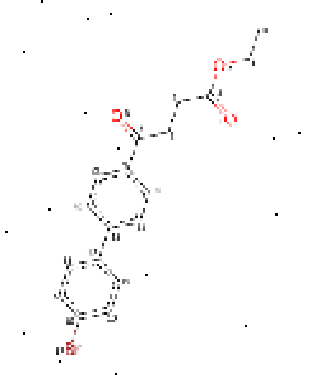 CCOC(=O)CCC(=O)c1ccc(-c2ccc(Br)cc2)cc1